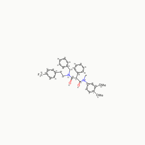 COc1ccc(N(C)C(=O)C(C(=O)N(CCc2ccc(C(F)(F)F)cc2)Cc2ccccc2)c2ccccc2)cc1OC